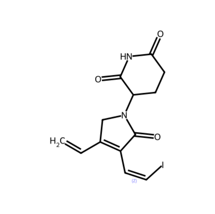 C=CC1=C(/C=C\I)C(=O)N(C2CCC(=O)NC2=O)C1